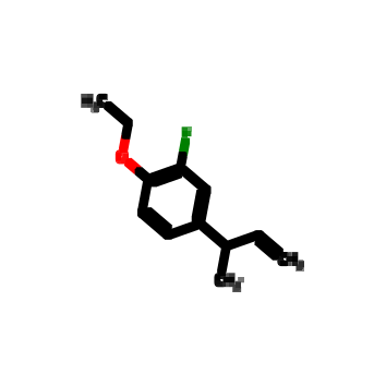 [CH2]C(C=C)c1ccc(OCC)c(F)c1